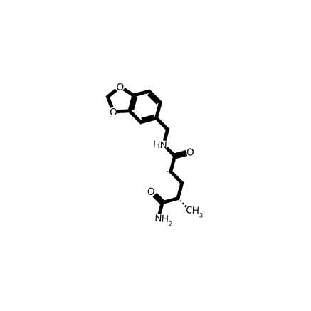 C[C@@H](C[CH]C(=O)NCc1ccc2c(c1)OCO2)C(N)=O